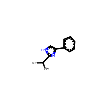 CCCC(CCC)c1nc(-c2ccccc2)c[nH]1